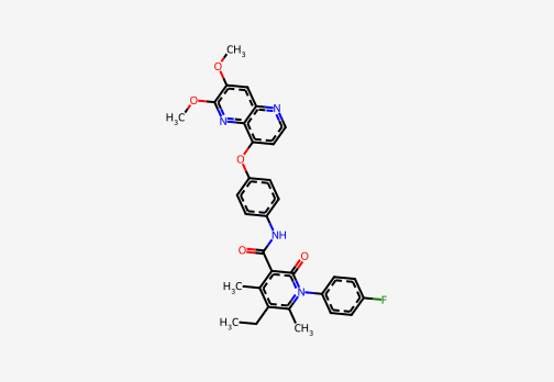 CCc1c(C)c(C(=O)Nc2ccc(Oc3ccnc4cc(OC)c(OC)nc34)cc2)c(=O)n(-c2ccc(F)cc2)c1C